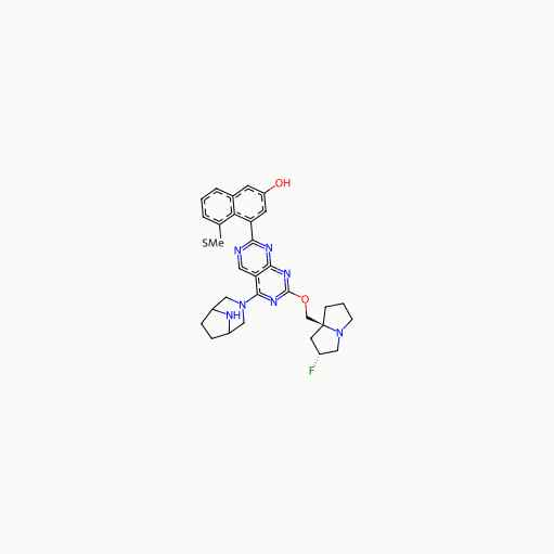 CSc1cccc2cc(O)cc(-c3ncc4c(N5CC6CCC(C5)N6)nc(OC[C@@]56CCCN5C[C@H](F)C6)nc4n3)c12